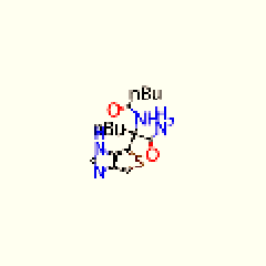 CCCCC(=O)NC(CCCC)(C(N)=O)c1scc2nc[nH]c12